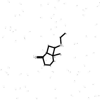 CCOC1CC2C(=O)CCCC12C